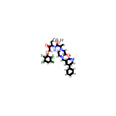 CC(C(=O)NC(CC(=O)O)C(=O)COc1c(F)c(F)cc(F)c1F)N1CCN(Cc2cncc(-c3ccccc3)c2)C(=O)C1